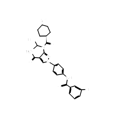 CC(C)N(c1nn(-c2ccc(NC(=O)c3cccc(Cl)c3)cc2)cc1C(=O)O)C(=O)[C@H]1CC[C@H](C)CC1